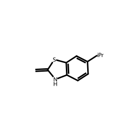 C=C1Nc2ccc(C(C)C)cc2S1